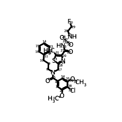 COc1cc(C(=O)N(CCCc2ccccc2)Cc2nc(C(=O)NS(=O)(=O)NCCF)c(C)s2)cc(OC)c1Cl